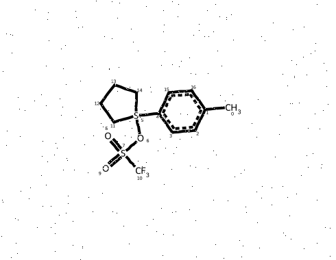 Cc1ccc(S2(OS(=O)(=O)C(F)(F)F)CCCC2)cc1